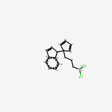 [Cl][Ti]([Cl])[CH2]CCC1(C2C=Cc3ccccc32)C=CC=C1